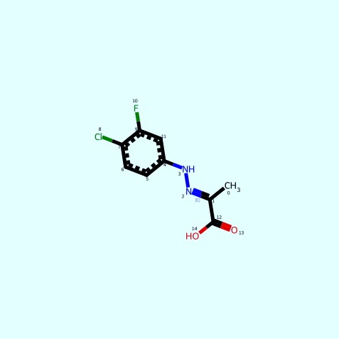 C/C(=N\Nc1ccc(Cl)c(F)c1)C(=O)O